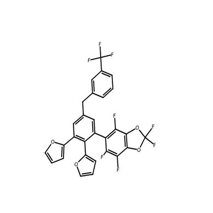 Fc1c(F)c(-c2cc(Cc3cccc(C(F)(F)F)c3)cc(-c3cc[c]o3)c2-c2ccco2)c(F)c2c1OC(F)(F)O2